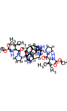 COC(=O)N[C@H](C(=O)N1CCC[C@H]1c1nc(-c2cc3ccc2CCc2ccc(c(-c4c[nH]c([C@@H]5CCCN5C(=O)[C@@H](NC(=O)OC)C(C)C)n4)c2)CC3)c[nH]1)C(C)C